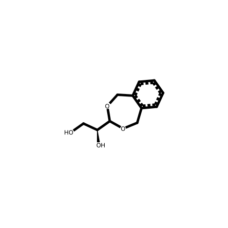 OC[C@H](O)C1OCc2ccccc2CO1